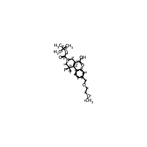 COCCOCc1ccc(C2=C(C(=O)O)CN(C(=O)OC(C)(C)C)CC2(F)F)cc1